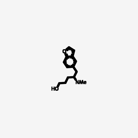 CNC(CCCO)Cc1ccc2occc2c1